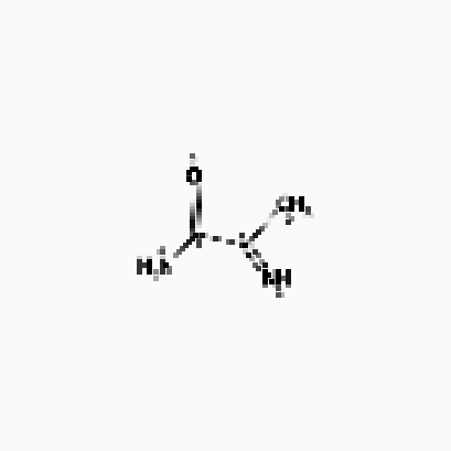 CC(=N)C(N)=O